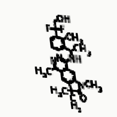 Cc1c([C@@H](C)Nc2nnc(C)c3cc4c(cc23)N(C)C(=O)C4(C)C)cccc1C(F)(F)CO